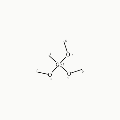 C[O][Ge]([CH3])([O]C)[O]C